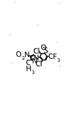 Cc1nn(C2=C(Cl)C=C(C(F)(F)F)C(=S=O)C2Cl)cc1[N+](=O)[O-]